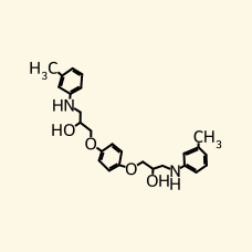 Cc1cccc(NCC(O)COc2ccc(OCC(O)CNc3cccc(C)c3)cc2)c1